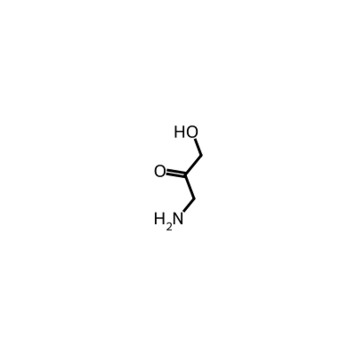 NCC(=O)CO